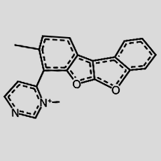 Cc1ccc2c(oc3oc4ccccc4c32)c1-c1ccnc[n+]1C